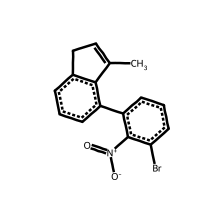 CC1=CCc2cccc(-c3cccc(Br)c3[N+](=O)[O-])c21